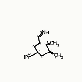 C=CC(=C)CC(CCC=N)C(C)C